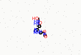 Cc1c(NC(=O)NCC(C)O)cccc1-c1cc(Nc2ccc(C(=O)N3CCOCC3)cn2)c2nccn2c1